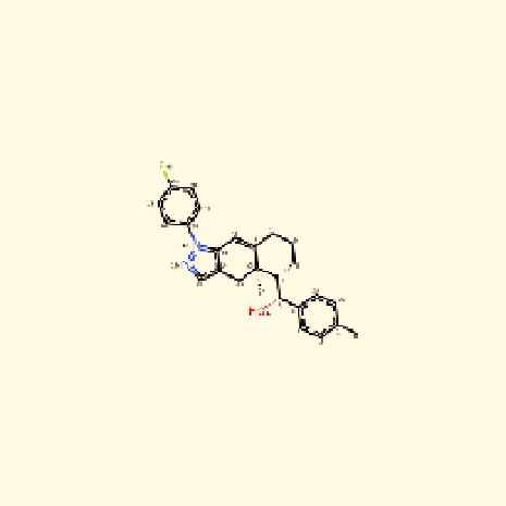 Cc1ccc([C@H](O)[C@H]2CCCC3=Cc4c(cnn4-c4ccc(F)cc4)C[C@@]32C)cc1